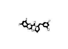 O=C(c1nc2c(F)cc(F)cc2nc1O)N1CCCC1Cc1cc(Cl)cc(Cl)c1